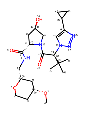 CO[C@@H]1CCO[C@H](CNC(=O)[C@@H]2C[C@@H](O)CN2C(=O)[C@@H](n2cc(C3CC3)nn2)C(C)(C)C)C1